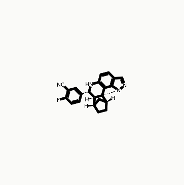 N#Cc1cc([C@@H]2Nc3ccc4cnn5c4c3[C@]53[C@@H]4CC[C@@H](C4)[C@@H]23)ccc1F